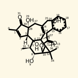 CC1=C[C@H]2[C@@]3(O)[C@H](C)[C@@H](O)[C@]4(OC(=O)Cc5ccccc5)[C@@H]([C@@H]3C=C(CO)C[C@]2(O)C1=O)C4(C)C